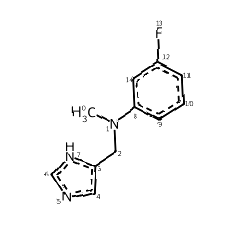 CN(Cc1cnc[nH]1)c1cccc(F)c1